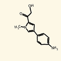 Cn1cc(-c2ccc(N)cc2)cc1C(=O)CO